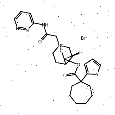 O=C(C[N+]12CCC(CC1)[C@@H](OC(=O)C1(c3cccs3)CCCCCC1)C2)Nc1cccnn1.[Br-]